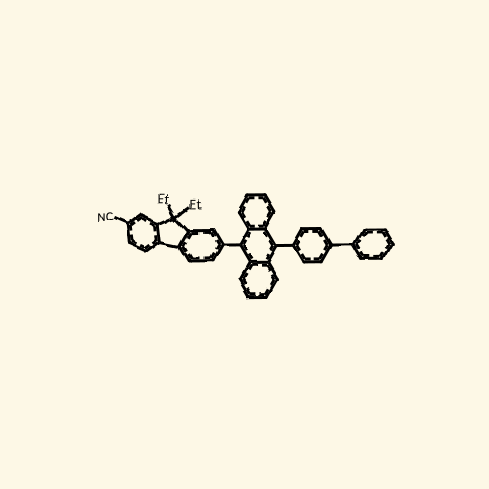 CCC1(CC)c2cc(C#N)ccc2-c2ccc(-c3c4ccccc4c(-c4ccc(-c5ccccc5)cc4)c4ccccc34)cc21